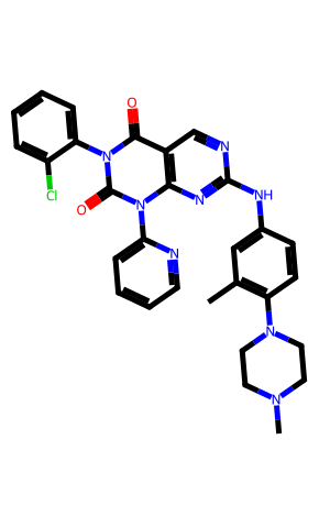 Cc1cc(Nc2ncc3c(=O)n(-c4ccccc4Cl)c(=O)n(-c4ccccn4)c3n2)ccc1N1CCN(C)CC1